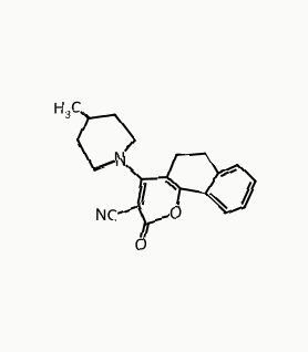 CC1CCN(c2c3c(oc(=O)c2C#N)-c2ccccc2CC3)CC1